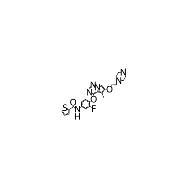 Cc1c(OCCN2CCN(C)CC2)cn2ncnc(Oc3ccc(NC(=O)c4cccs4)cc3F)c12